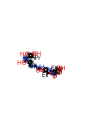 CCc1c2c(nc3ccc(OCC(=O)NCCn4ccc5cc(-n6c(O)nnc6-c6cc(C(C)C)c(O)cc6O)ccc54)cc13)-c1cc3c(c(=O)n1C2)COC(=O)C3(O)CC